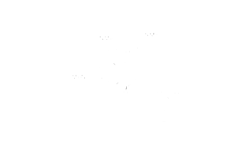 CNCC(=O)O[C@@H]1[C@@H](OC(=O)CNC)[C@H](OC(=O)CNC)CS[C@H]1Oc1ccc2c(C)cc(=O)oc2c1